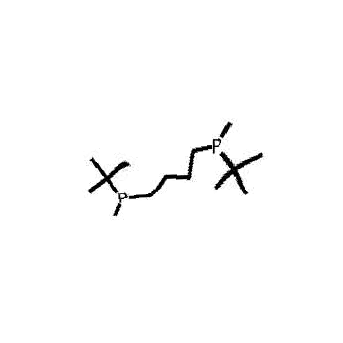 CP(CCCCP(C)C(C)(C)C)C(C)(C)C